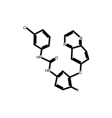 O=C(Nc1cccc(Cl)c1)Nc1ccc(F)c(Oc2ccc3nccnc3c2)c1